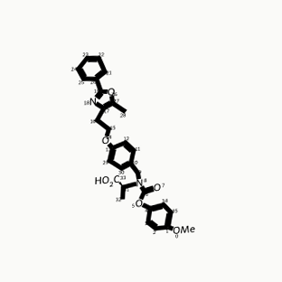 COc1ccc(OC(=O)N(Cc2ccc(OCCc3nc(-c4ccccc4)oc3C)cc2)[C@H](C)C(=O)O)cc1